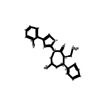 O=C(O)C[C@@H]1C(=O)N(c2nc(-c3ccccc3Cl)cs2)CC(O)C[C@@H]1c1ccccc1